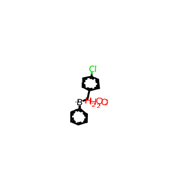 Clc1ccc(C[B]c2ccccc2)cc1.O.O